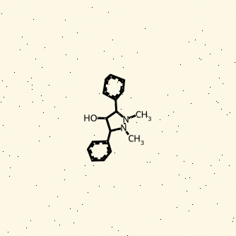 CN1C(c2ccccc2)C(O)C(c2ccccc2)N1C